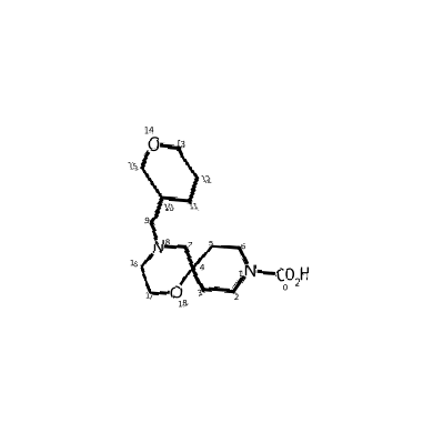 O=C(O)N1CCC2(CC1)CN(CC1CCCOC1)CCO2